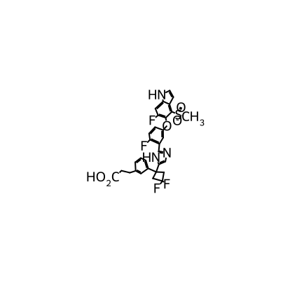 CS(=O)(=O)c1c(Oc2ccc(F)c(-c3ncc(C4(c5cccc(CCC(=O)O)c5)CC(F)(F)C4)[nH]3)c2)c(F)cc2[nH]ccc12